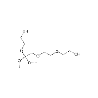 COC(COCCOCCO)(OC)OCCO